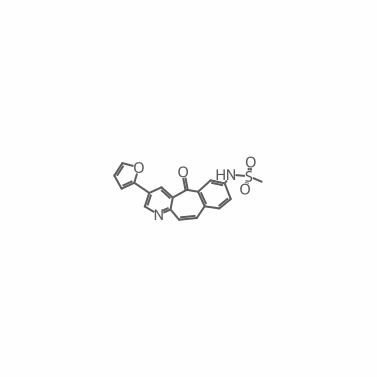 CS(=O)(=O)Nc1ccc2ccc3ncc(-c4ccco4)cc3c(=O)c2c1